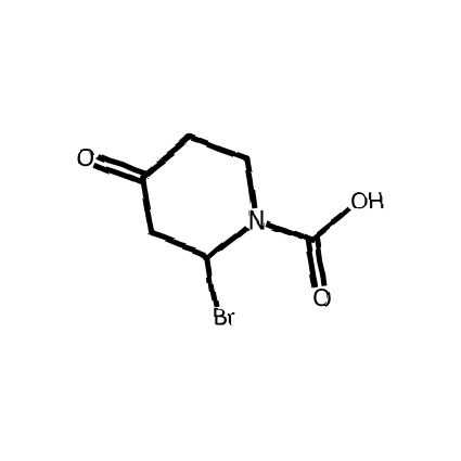 O=C1CCN(C(=O)O)C(Br)C1